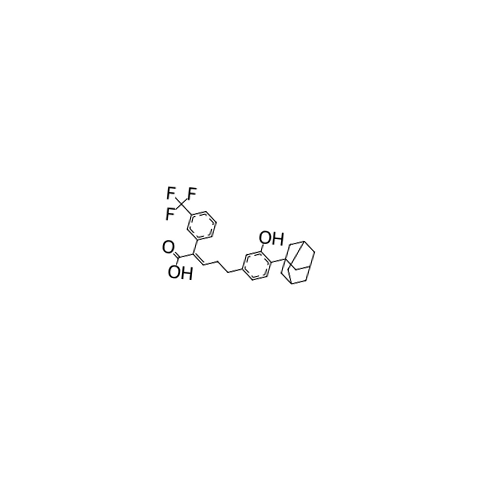 O=C(O)/C(=C/CCc1ccc(C23CC4CC(CC(C4)C2)C3)c(O)c1)c1cccc(C(F)(F)F)c1